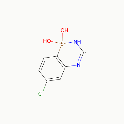 OS1(O)N[C]=Nc2cc(Cl)ccc21